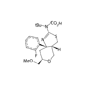 COC[C@H]1C[C@]2(c3ccccc3F)N=C(N(C(=O)O)C(C)(C)C)SC[C@@H]2CO1